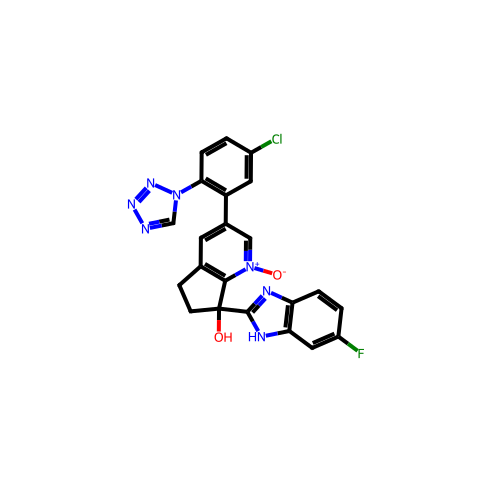 [O-][n+]1cc(-c2cc(Cl)ccc2-n2cnnn2)cc2c1C(O)(c1nc3ccc(F)cc3[nH]1)CC2